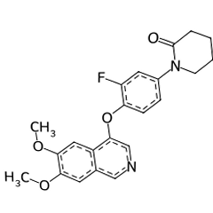 COc1cc2cncc(Oc3ccc(N4CCCCC4=O)cc3F)c2cc1OC